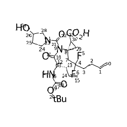 C=CCCC(F)(F)CC1(N(C(=O)[C@H](CC=C)NC(=O)OC(C)(C)C)C(=O)N2CCC(O)C2)CC1C(=O)O